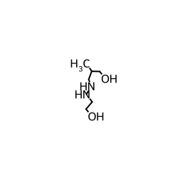 CC(CO)CNNCCO